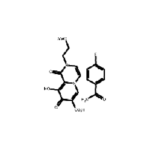 COCCn1ccn2cc(C(=O)O)c(=O)c(O)c2c1=O.NC(=O)c1ccc(F)cc1